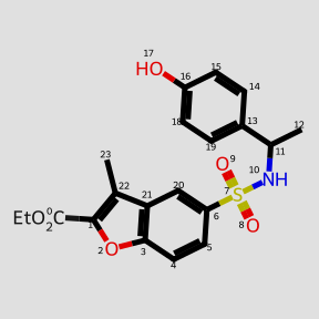 CCOC(=O)c1oc2ccc(S(=O)(=O)NC(C)c3ccc(O)cc3)cc2c1C